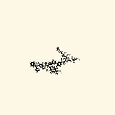 CO[C@H]([C@@H](C)C(=O)N[C@@H](Cc1ccccc1)c1nccs1)[C@@H]1CCCN1C(=O)C[C@@H](OC)[C@H](C1CCCCC1)N(C)C(=O)[C@@H](NC(=O)[C@H](C(C)C)N(C)C(=O)OCc1ccc(NC(=O)C(CCCNC(N)=O)NC(=O)[C@@H](NC(=O)CCOCCO)C(C)C)cc1)C(C)C